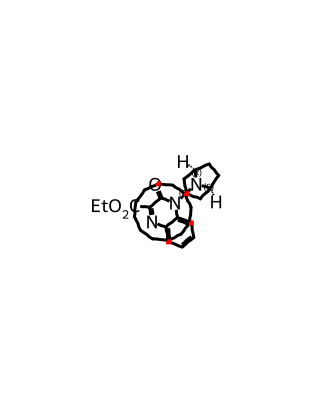 CCOC(=O)c1nc2ccccc2n([C@H]2C[C@H]3CC[C@@H](C2)N3C2CCCCCCCCCCC2)c1=O